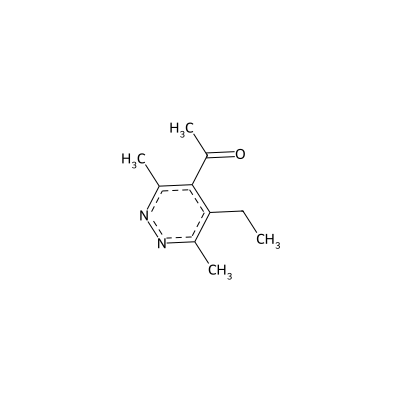 CCc1c(C)nnc(C)c1C(C)=O